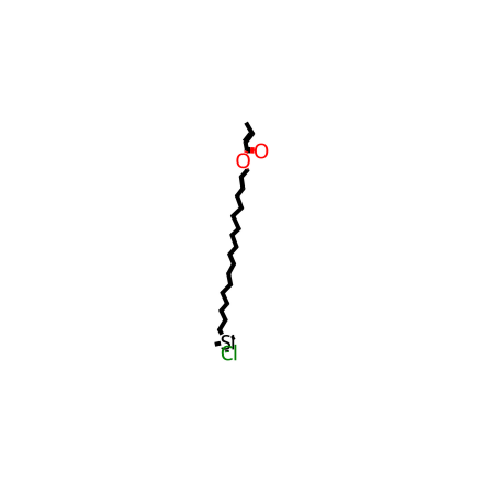 CC=CC(=O)OCCCCCCCCCCCCCCCCCC[Si](C)(C)Cl